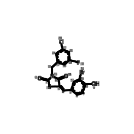 O=C1SC(=Cc2ccc(O)c(Br)c2)C(=O)N1Cc1cc(F)cc(Cl)c1